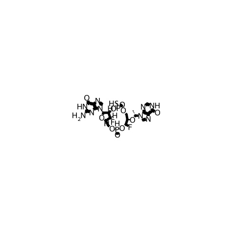 C[C@@H](O[C@@H]1CO[P@@](=O)(S)O[C@@H]2[C@@H](F)[C@@H](CO[PH](=O)OC1F)O[C@H]2n1cnc2c(=O)[nH]c(N)nc21)n1cnc2c(=O)[nH]cnc21